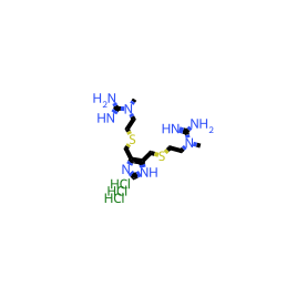 CN(CCSCc1nc[nH]c1CSCCN(C)C(=N)N)C(=N)N.Cl.Cl.Cl